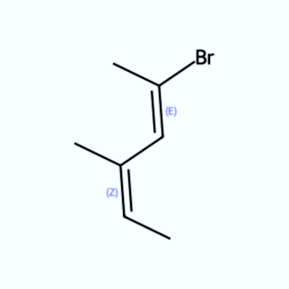 C/C=C(C)\C=C(/C)Br